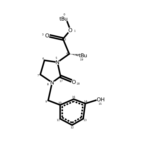 CC(C)(C)OC(=O)[C@@H](N1CCN(Cc2cccc(O)c2)C1=O)C(C)(C)C